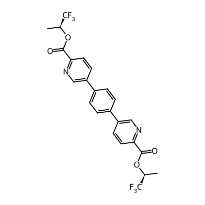 C[C@H](OC(=O)c1ccc(-c2ccc(-c3ccc(C(=O)O[C@@H](C)C(F)(F)F)nc3)cc2)cn1)C(F)(F)F